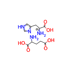 NC(CCC(=O)O)C(=O)O.N[C@@H](Cc1c[nH]cn1)C(=O)O